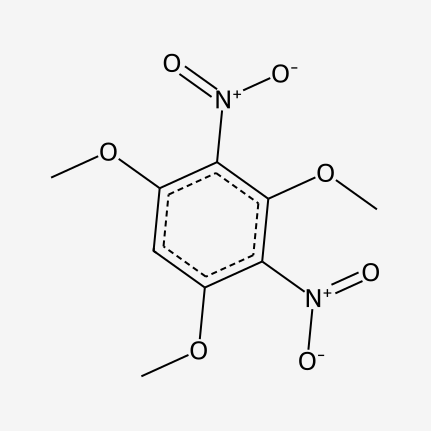 COc1cc(OC)c([N+](=O)[O-])c(OC)c1[N+](=O)[O-]